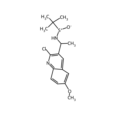 COc1ccc2nc(Cl)c(C(C)N[S+]([O-])C(C)(C)C)cc2c1